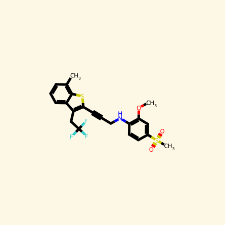 COc1cc(S(C)(=O)=O)ccc1NCC#Cc1sc2c(C)cccc2c1CC(F)(F)F